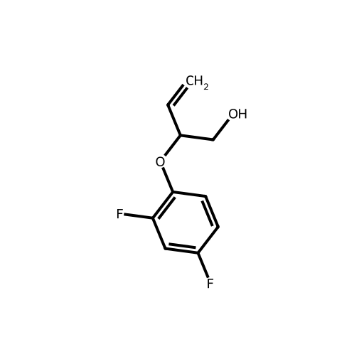 C=CC(CO)Oc1ccc(F)cc1F